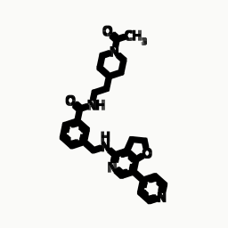 CC(=O)N1CCC(CCNC(=O)c2cccc(CNc3ncc(-c4ccncc4)c4c3CCO4)c2)CC1